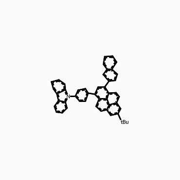 CC(C)(C)c1cc2ccc3c(-c4ccc(-n5c6ccccc6c6ccccc65)cc4)cc(-c4ccc5ccccc5c4)c4ccc(c1)c2c34